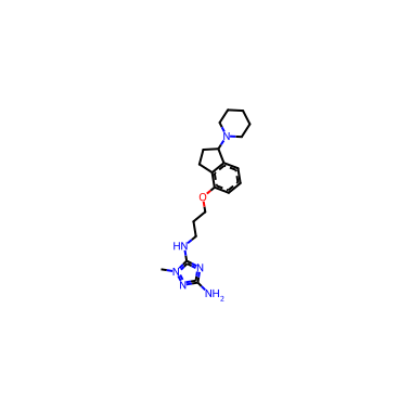 Cn1nc(N)nc1NCCCOc1cccc2c1CCC2N1CCCCC1